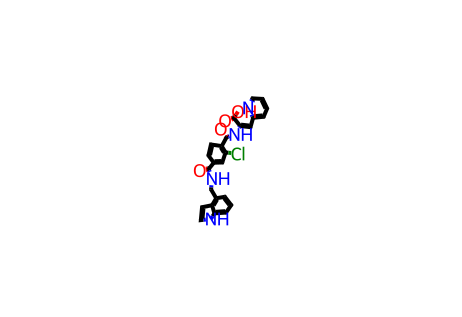 O=C(O)C(=Cc1ccccn1)NC(=O)c1ccc(C(=O)NCc2cccc3[nH]ccc23)cc1Cl